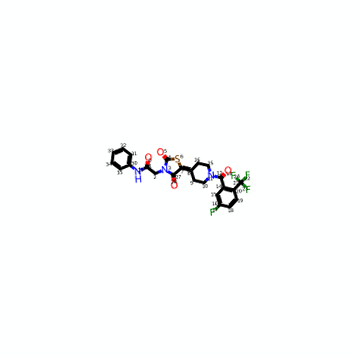 O=C(CN1C(=O)SC(=C2CCN(C(=O)c3cc(F)ccc3C(F)(F)F)CC2)C1=O)Nc1ccccc1